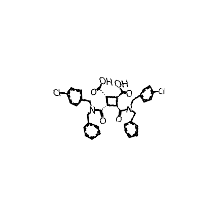 O=C(O)[C@@H]1[C@@H](C(=O)O)[C@@H](C(=O)N(Cc2ccccc2)Cc2ccc(Cl)cc2)[C@@H]1C(=O)N(Cc1ccccc1)Cc1ccc(Cl)cc1